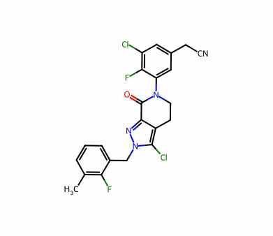 Cc1cccc(Cn2nc3c(c2Cl)CCN(c2cc(CC#N)cc(Cl)c2F)C3=O)c1F